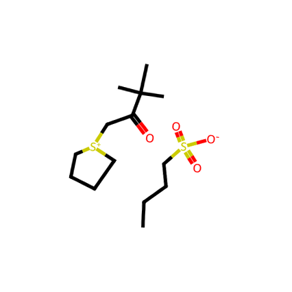 CC(C)(C)C(=O)C[S+]1CCCC1.CCCCS(=O)(=O)[O-]